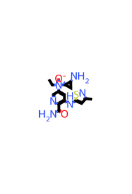 CC[N+]([O-])(c1cnc(C(N)=O)c(Nc2cc(C)ns2)c1)C1CC1N